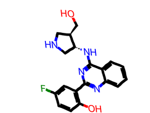 OC[C@@H]1CNC[C@H]1Nc1nc(-c2cc(F)ccc2O)nc2ccccc12